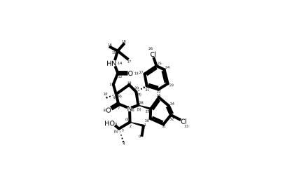 CC[C@@H]([C@H](C)O)N1C(=O)[C@@](C)(CC(=O)NC(C)(C)C)C[C@H](c2cccc(Cl)c2)[C@H]1c1ccc(Cl)cc1